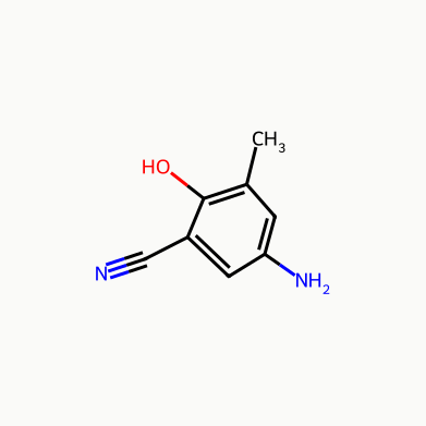 Cc1cc(N)cc(C#N)c1O